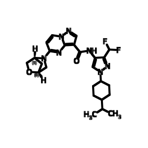 CC(C)C1CCC(n2cc(NC(=O)c3cnn4ccc(N5C[C@H]6C[C@@H]5CO6)nc34)c(C(F)F)n2)CC1